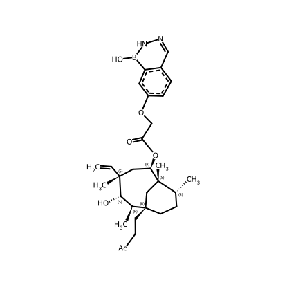 C=C[C@]1(C)C[C@@H](OC(=O)COc2ccc3c(c2)B(O)NN=C3)[C@@]2(C)C[C@](CCC(C)=O)(CC[C@H]2C)[C@@H](C)[C@@H]1O